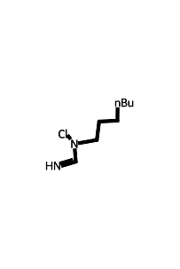 CCCCCCCN(Cl)C=N